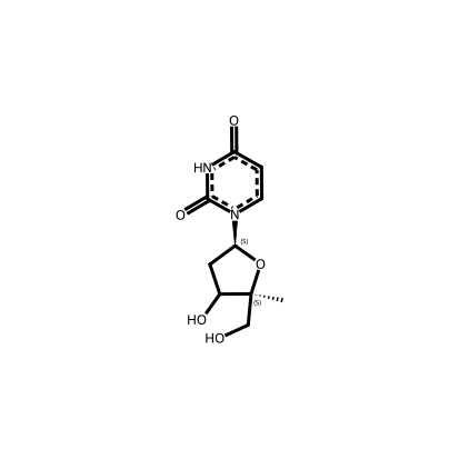 C[C@@]1(CO)O[C@H](n2ccc(=O)[nH]c2=O)CC1O